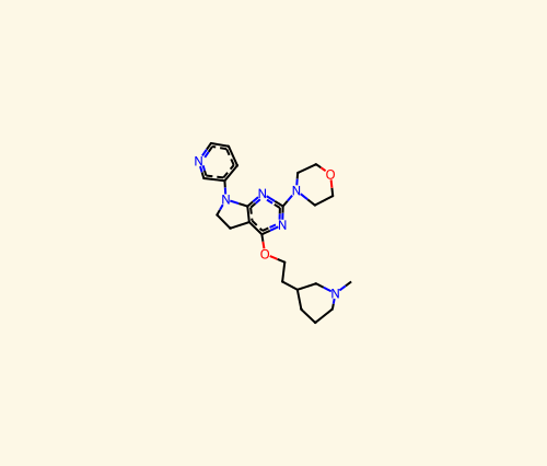 CN1CCCC(CCOc2nc(N3CCOCC3)nc3c2CCN3c2cccnc2)C1